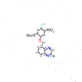 COc1cc(F)c([N+](=O)[O-])cc1OCc1cccc2nc(F)cnc12